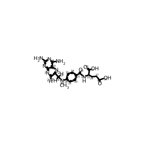 [2H]c1nc2nc(N)nc(N)c2nc1C([2H])([2H])N(C)c1ccc(C(=O)NC(CCC(=O)O)C(=O)O)cc1